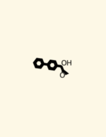 OC(c1ccc(-c2ccccc2)cc1)C1CO1